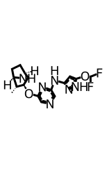 C[C@@H]1[C@H]2CC[C@@H](C[C@H]1Oc1cncc(Nc3cc(OC(F)F)[nH]n3)n1)N2